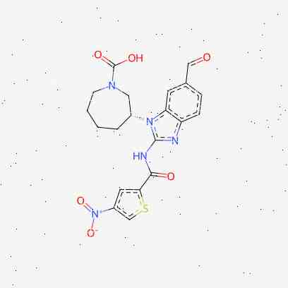 O=Cc1ccc2nc(NC(=O)c3cc([N+](=O)[O-])cs3)n([C@@H]3CCCCN(C(=O)O)C3)c2c1